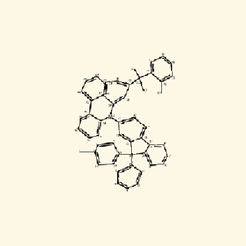 Cc1ccc(C2(c3ccccc3)c3ccccc3-c3ccc(N(c4cccc(C(C)(C)c5ccccc5C)c4)c4ccccc4-c4ccccc4)cc32)cc1